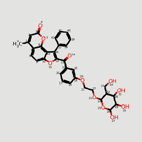 Cc1cc(=O)oc2c1ccc1oc(C(=O)c3cccc(OCCOC4OC(O)C(O)C(O)C4CO)c3)c(-c3ccccc3)c12